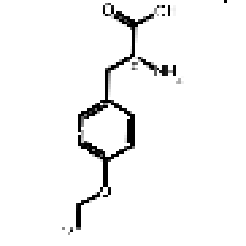 N[C@@H](Cc1ccc(OC[18F])cc1)C(=O)O